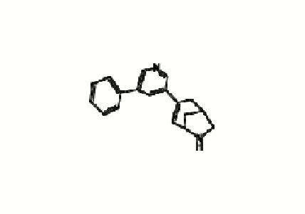 C1=C(c2cncc(-c3ccccc3)c2)CC2CNC1C2